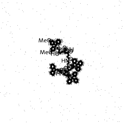 COc1ccc(C(OC[C@H]2O[C@@H](n3cc(CCC(=O)NCCNC(=O)C(Cc4cn(C(c5ccccc5)(c5ccccc5)c5ccccc5)cn4)NC(=O)C(Cc4cn(C(c5ccccc5)(c5ccccc5)c5ccccc5)cn4)NC(=O)OCC4c5ccccc5-c5ccccc54)c(=O)[nH]c3=O)C[C@@H]2O)(c2ccccc2)c2ccc(OC)cc2)cc1